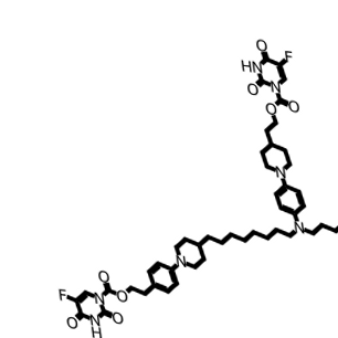 CCCCN(CCCCCCCCC1CCN(c2ccc(CCOC(=O)n3cc(F)c(=O)[nH]c3=O)cc2)CC1)c1ccc(N2CCC(CCOC(=O)n3cc(F)c(=O)[nH]c3=O)CC2)cc1